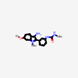 CCCCNC(=O)Nc1cccc(-c2c(N)c3ccc(OCC)cc3n2CCCC)c1